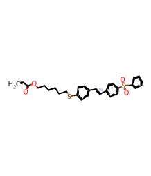 C=CC(=O)OCCCCCCSc1ccc(/C=C/c2ccc(S(=O)(=O)c3ccccc3)cc2)cc1